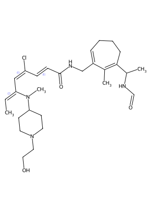 C/C=C(/C=C(Cl)\C=C\C(=O)NCC1=CCCCC(C(C)NC=O)=C1C)N(C)C1CCN(CCO)CC1